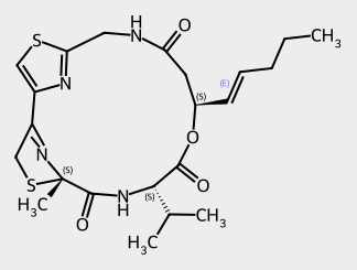 CCC/C=C/[C@@H]1CC(=O)NCc2nc(cs2)C2=N[C@@](C)(SC2)C(=O)N[C@@H](C(C)C)C(=O)O1